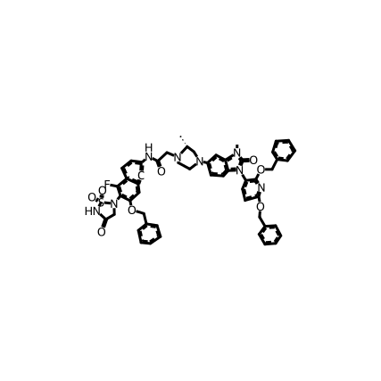 C[C@@H]1CN(c2ccc3c(c2)n(C)c(=O)n3-c2ccc(OCc3ccccc3)nc2OCc2ccccc2)CCN1CC(=O)Nc1ccc2c(F)c(N3CC(=O)NS3(=O)=O)c(OCc3ccccc3)cc2c1